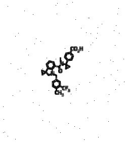 Cc1ccc(CN2CC3(CC3)c3cccc(C(=O)N(I)C4(c5ccc(C(=O)O)cc5)CC4)c32)cc1C(F)(F)F